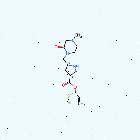 C=CC(OC(=O)[C@@H]1CN[C@H](CN2CCN(C)CC2=O)C1)SC(C)=O